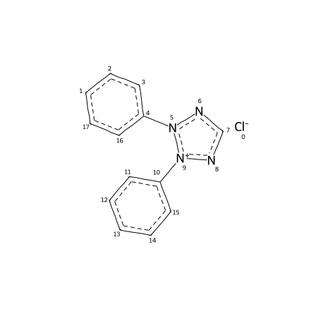 [Cl-].c1ccc(-n2ncn[n+]2-c2ccccc2)cc1